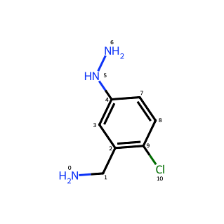 NCc1cc(NN)ccc1Cl